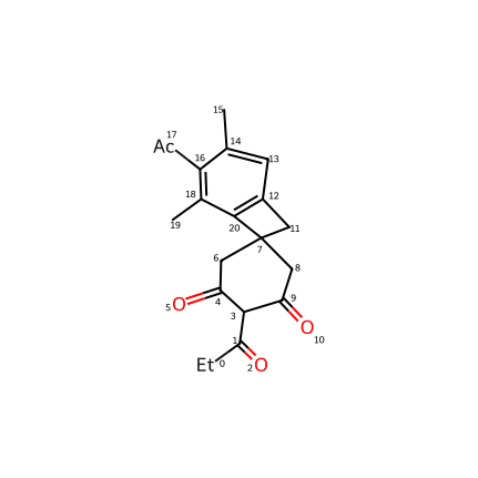 CCC(=O)C1C(=O)CC2(CC1=O)Cc1cc(C)c(C(C)=O)c(C)c12